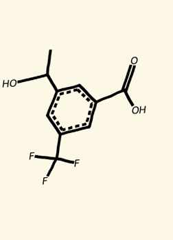 CC(O)c1cc(C(=O)O)cc(C(F)(F)F)c1